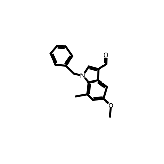 COc1cc(C)c2c(c1)c(C=O)cn2Cc1ccccc1